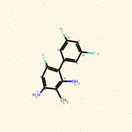 Cc1c(N)cc(F)c(-c2cc(F)cc(F)c2)c1N